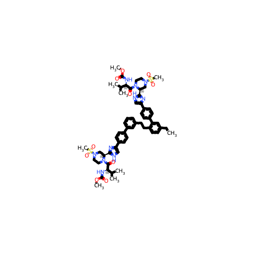 CCc1ccc(CCc2cccc(-c3ccc(-c4c[nH]c([C@@H]5CN(S(C)(=O)=O)CCN5C(=O)[C@@H](NC(=O)OC)C(C)C)n4)cc3)c2)c(-c2ccc(-c3c[nH]c([C@@H]4CN(S(C)(=O)=O)CCN4C(=O)[C@@H](NC(=O)OC)C(C)C)n3)cc2)c1